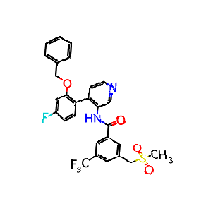 CS(=O)(=O)Cc1cc(C(=O)Nc2cnccc2-c2ccc(F)cc2OCc2ccccc2)cc(C(F)(F)F)c1